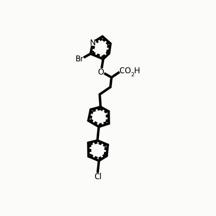 O=C(O)C(CCc1ccc(-c2ccc(Cl)cc2)cc1)Oc1cccnc1Br